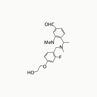 CNc1cc(C=O)ccc1C(C)N(C)Cc1ccc(OCCO)cc1F